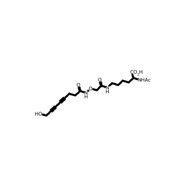 CC(=O)NC(CCCCNC(=O)CONC(=O)CCC#CC#CCO)C(=O)O